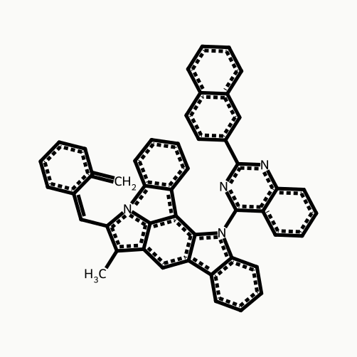 C=c1cccc/c1=C/c1c(C)c2cc3c4ccccc4n(-c4nc(-c5ccc6ccccc6c5)nc5ccccc45)c3c3c4ccccc4n1c23